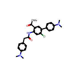 COC(=O)c1cc(-c2ccc(N(C)C)cc2)c(Cl)cc1NC(=O)Cc1ccc(N(C)C)cc1